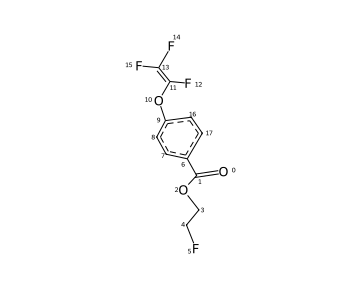 O=C(OCCF)c1ccc(OC(F)=C(F)F)cc1